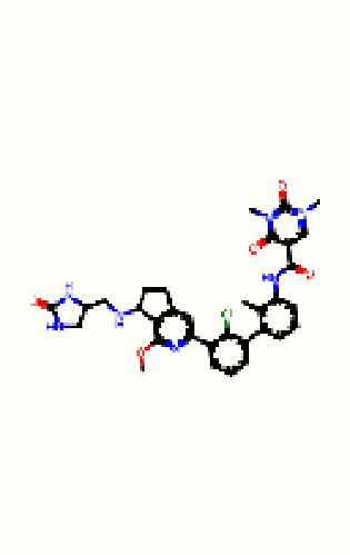 COc1nc(-c2cccc(-c3cccc(NC(=O)c4cn(C)c(=O)n(C)c4=O)c3C)c2Cl)cc2c1C(NCC1CNC(=O)N1)CC2